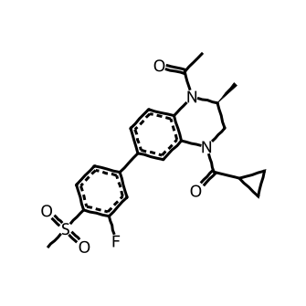 CC(=O)N1c2ccc(-c3ccc(S(C)(=O)=O)c(F)c3)cc2N(C(=O)C2CC2)C[C@@H]1C